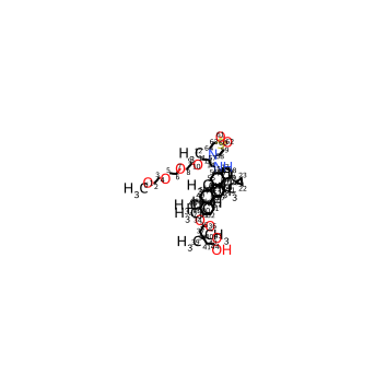 COCCOCCOCCOC(C)C(CN[C@]12CC[C@@H](C3(C)CC3)[C@@H]1[C@H]1CC[C@@H]3[C@@]4(C)CC[C@H](OC(=O)CC(C)(C)CC(=O)O)C(C)(C)[C@@H]4CC[C@@]3(C)[C@]1(C)CC2)N1CCS(=O)(=O)CC1